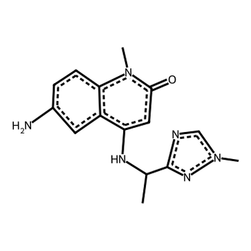 CC(Nc1cc(=O)n(C)c2ccc(N)cc12)c1ncn(C)n1